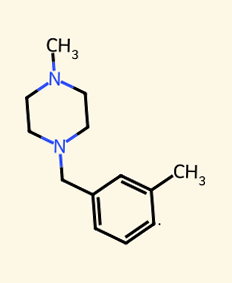 Cc1[c]ccc(CN2CCN(C)CC2)c1